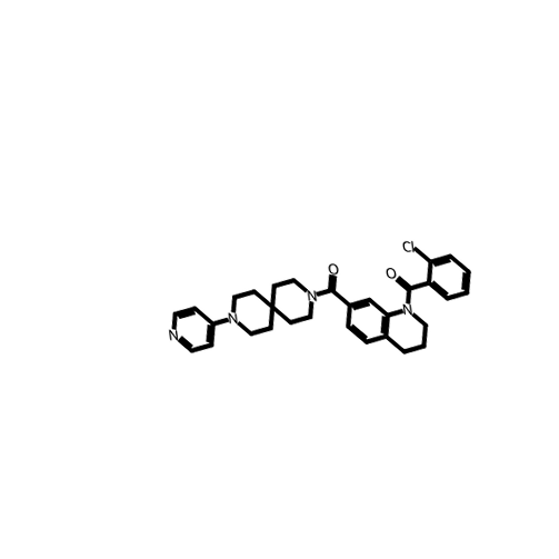 O=C(c1ccc2c(c1)N(C(=O)c1ccccc1Cl)CCC2)N1CCC2(CC1)CCN(c1ccncc1)CC2